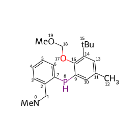 CNCc1ccccc1Pc1cc(C)cc(C(C)(C)C)c1OCOC